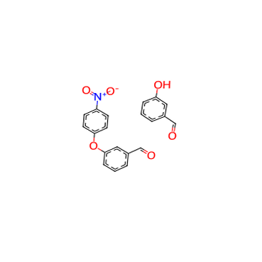 O=Cc1cccc(O)c1.O=Cc1cccc(Oc2ccc([N+](=O)[O-])cc2)c1